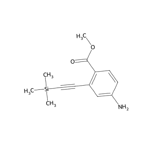 COC(=O)c1ccc(N)cc1C#C[Si](C)(C)C